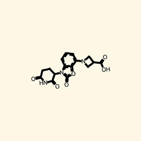 O=C1CCC(n2c(=O)oc3c(N4CC(C(=O)O)C4)cccc32)C(=O)N1